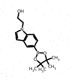 CC1(C)OB(c2ccc3c(ccn3CCO)c2)OC1(C)C